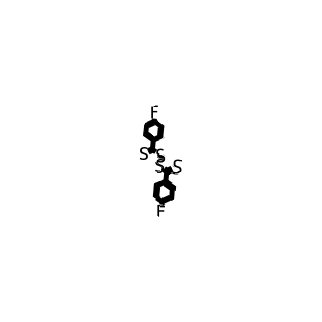 Fc1ccc(C(=S)SSC(=S)c2ccc(F)cc2)cc1